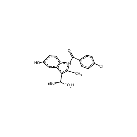 CCCC[C@H](C(=O)O)c1c(C)n(C(=O)c2ccc(Cl)cc2)c2ccc(O)cc12